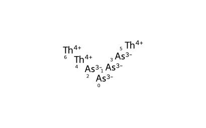 [As-3].[As-3].[As-3].[As-3].[Th+4].[Th+4].[Th+4]